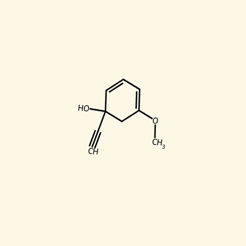 C#CC1(O)C=CC=C(OC)C1